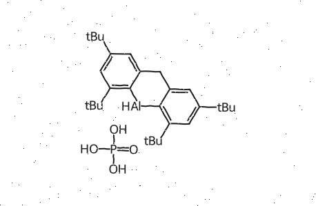 CC(C)(C)c1cc2[c](c(C(C)(C)C)c1)[AlH][c]1c(cc(C(C)(C)C)cc1C(C)(C)C)C2.O=P(O)(O)O